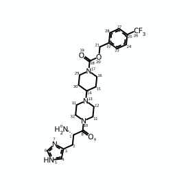 N[C@@H](Cc1c[nH]cn1)C(=O)N1CCN(C2CCN(C(=O)OCc3ccc(C(F)(F)F)cc3)CC2)CC1